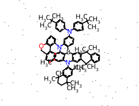 Cc1cc2c3c(c1)N(c1cccc4c1-c1ccccc1CO4)c1cc(N(c4ccc(C(C)(C)C)cc4)c4ccc(C(C)(C)C)cc4)ccc1B3c1cc3c(cc1N2c1cc2c(cc1C)C(C)(C)CCC2(C)C)C(C)(C)c1ccccc1C3(C)C